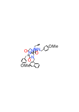 C#CCN(C(=O)NCc1ccc(OC)cc1)N1CC(=O)N2[C@@H](Cc3ccc(OC)cc3)C(=O)N(Cc3cccc4ccccc34)C[C@@H]21